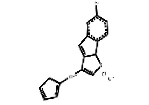 Brc1ccc2c(c1)C=C1[C]([Zr+2][C]3=CC=CC3)=CSC12.[Cl-].[Cl-]